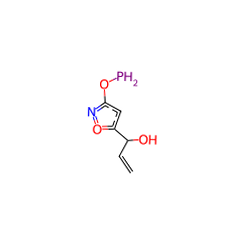 C=CC(O)c1cc(OP)no1